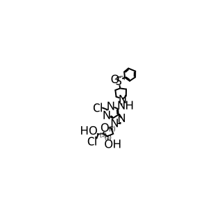 [O-][S+](c1ccccc1)C1CCN(Nc2nc(Cl)nc3c2ncn3[C@H]2C[C@H](O)[C@@H](C(O)Cl)O2)CC1